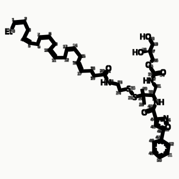 CC/C=C\C/C=C\C/C=C\C/C=C\C/C=C\C/C=C\CCC(=O)NCCSSC(C)(C)[C@@H](CNC(=O)OC[C@@H](O)CO)NC(=O)c1cc(-c2ccccc2)on1